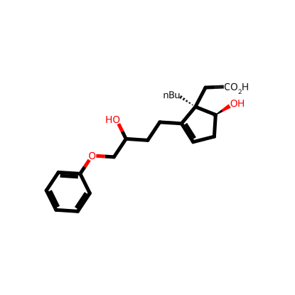 CCCC[C@@]1(CC(=O)O)C(CCC(O)COc2ccccc2)=CC[C@@H]1O